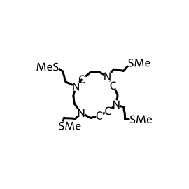 CSCCN1CCCN(CCSC)CCN(CCSC)CCCN(CCSC)CC1